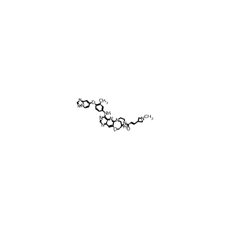 Cc1cc(Nc2ncnc3cc4c(nc23)N2CCN(C(=O)/C=C/C3CN(C)C3)[C@H](CO4)C2)ccc1Oc1ccn2ncnc2c1